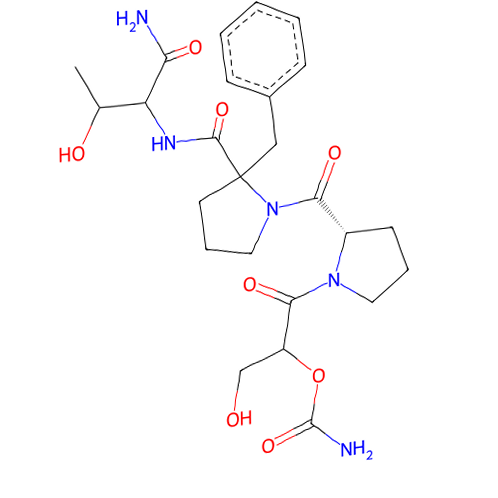 CC(O)C(NC(=O)C1(Cc2ccccc2)CCCN1C(=O)[C@@H]1CCCN1C(=O)C(CO)OC(N)=O)C(N)=O